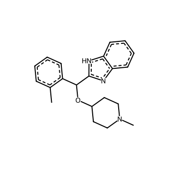 Cc1ccccc1C(OC1CCN(C)CC1)c1nc2ccccc2[nH]1